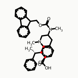 C[C@@H](c1ccccc1)[C@H](CC(=O)O)C(=O)N(C)CC(Cc1ccc(Cl)cc1)N(C)C(=O)OCC1c2ccccc2-c2ccccc21